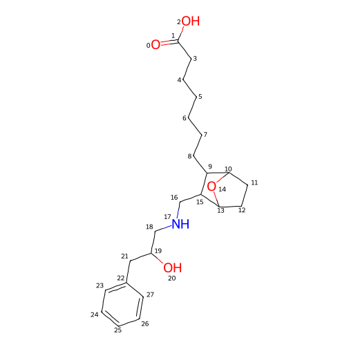 O=C(O)CCCCCCC1C2CCC(O2)C1CNCC(O)Cc1ccccc1